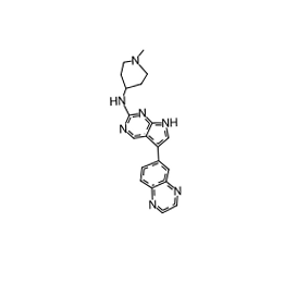 CN1CCC(Nc2ncc3c(-c4ccc5nccnc5c4)c[nH]c3n2)CC1